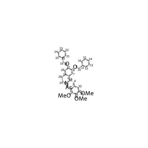 COc1cc(C[C@H]2c3cc(OCc4ccccc4)c(OCc4ccccc4)cc3CCN2C(C)=O)cc(OC)c1OC